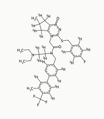 [2H]c1cc(-c2c([2H])c([2H])c(C(F)(F)F)c(C)c2[2H])c([2H])c([2H])c1CN(C(=O)Cn1c(SCc2c([2H])c([2H])c(F)c([2H])c2[2H])nc(=O)c2c1C([2H])([2H])C([2H])(C)C2([2H])[2H])C([2H])([2H])C([2H])([2H])N(CC)CC